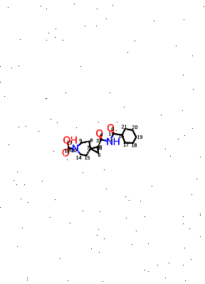 O=C(NC(=O)[C@H]1CC12CCN(C(=O)O)CC2)C1CCCCC1